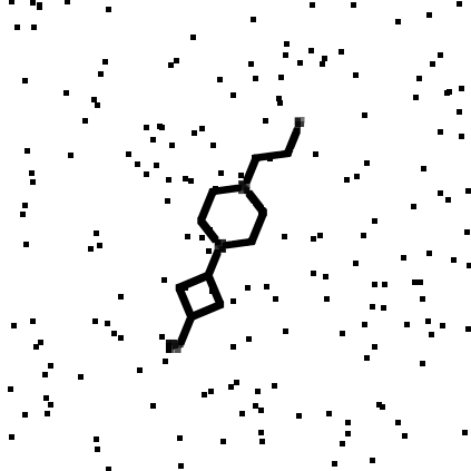 CC(C)C1CC(N2CCN(CCF)CC2)C1